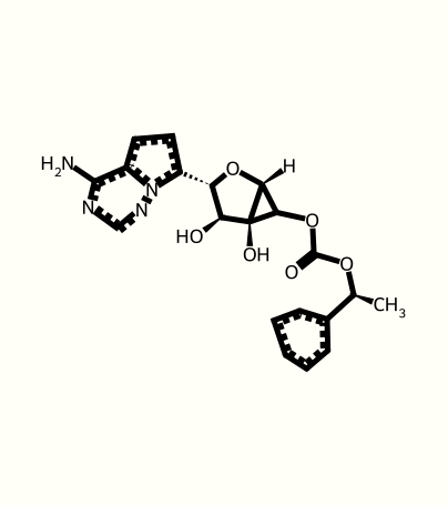 C[C@H](OC(=O)OC1[C@H]2O[C@@H](c3ccc4c(N)ncnn34)[C@H](O)[C@@]12O)c1ccccc1